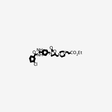 CCOC(=O)CCN1CCN(CC2CN(c3ccc(C(=N)NC(=O)c4cccc(Cl)c4)cc3)C(=O)O2)CC1